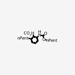 CCCCCOC(=O)Nc1cccc(CCCCC)c1C(=O)O